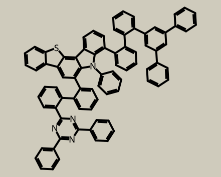 c1ccc(-c2cc(-c3ccccc3)cc(-c3ccccc3-c3ccccc3-c3cccc4c5c6sc7ccccc7c6cc(-c6ccccc6-c6ccccc6-c6nc(-c7ccccc7)nc(-c7ccccc7)n6)c5n(-c5ccccc5)c34)c2)cc1